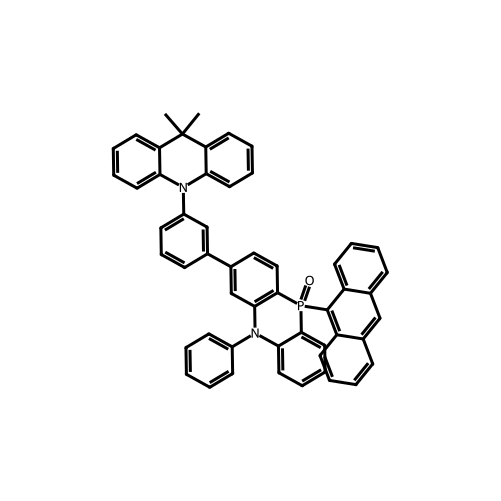 CC1(C)c2ccccc2N(c2cccc(-c3ccc4c(c3)N(c3ccccc3)c3ccccc3P4(=O)c3c4ccccc4cc4ccccc34)c2)c2ccccc21